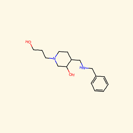 OCCCN1CCC(CNCc2ccccc2)C(O)C1